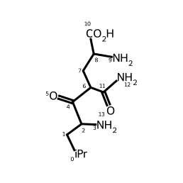 CC(C)CC(N)C(=O)C(CC(N)C(=O)O)C(N)=O